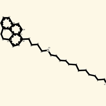 SCCCCCCCCCCCCOCCCCc1ccc2c3c1ccc1cccc(c13)CC2